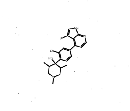 CC1CN(C)CC(C)C1(O)c1ccc(-c2ccnc3[nH]cc(F)c23)cc1Cl